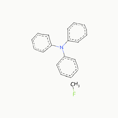 CF.c1ccc(N(c2ccccc2)c2ccccc2)cc1